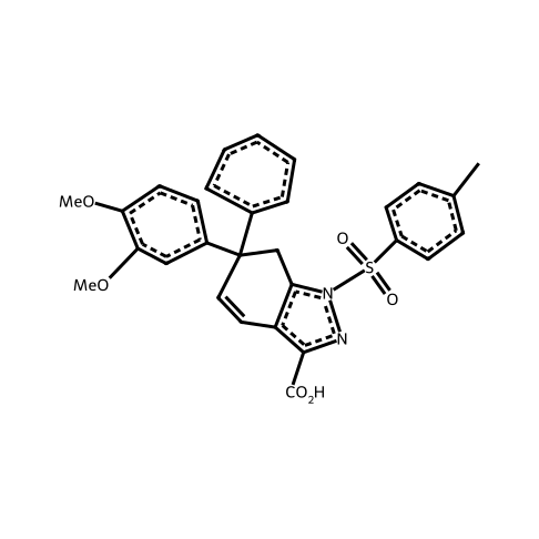 COc1ccc(C2(c3ccccc3)C=Cc3c(C(=O)O)nn(S(=O)(=O)c4ccc(C)cc4)c3C2)cc1OC